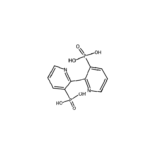 O=P(O)(O)c1cccnc1-c1ncccc1P(=O)(O)O